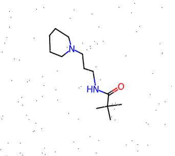 CC(C)(C)C(=O)NCCCN1CCCCC1